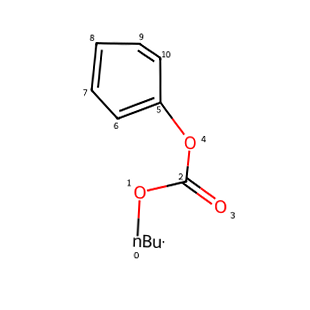 CCC[CH]OC(=O)Oc1ccccc1